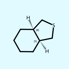 C1CC[C@H]2CSC[C@H]2C1